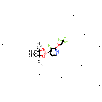 CC1(C)OB(c2ccnc(OCC(F)(F)F)c2F)OC1(C)C